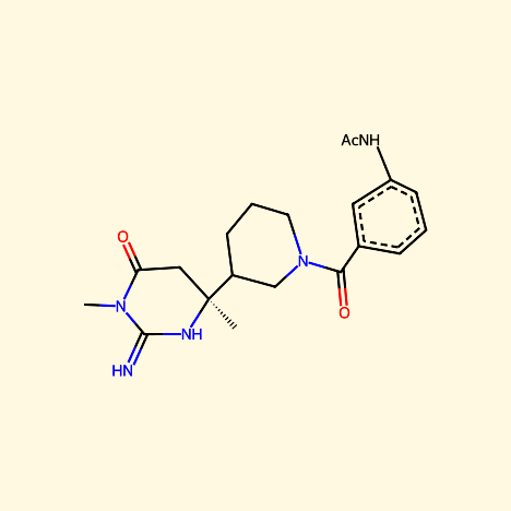 CC(=O)Nc1cccc(C(=O)N2CCCC([C@]3(C)CC(=O)N(C)C(=N)N3)C2)c1